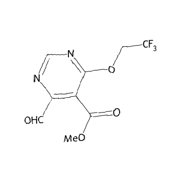 COC(=O)c1c(C=O)ncnc1OCC(F)(F)F